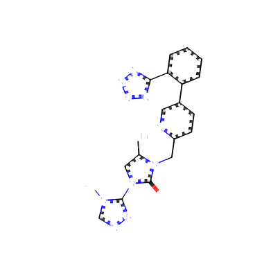 CCCCn1cnnc1-n1cc(CCC)n(Cc2ccc(-c3ccccc3-c3nnn[nH]3)cn2)c1=O